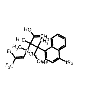 C=C(O)C(C)(C(C)(COC)c1ccc(C(C)(C)C)c2ccccc12)[N+](C)(C)/C=C(\CC)C(F)(F)F